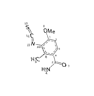 COc1ccc(C(N)=O)c(C)c1N=C=S